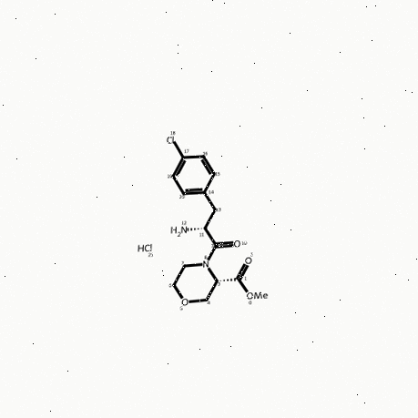 COC(=O)[C@@H]1COCCN1C(=O)[C@H](N)Cc1ccc(Cl)cc1.Cl